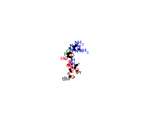 CC(C)OC(=O)C(C)NP(=O)(OCCSC(=O)C(C)(C)C)OC[C@H]1O[C@@H](n2cnc3c(N)nc(N)nc32)[C@@](F)(Cl)[C@@H]1O